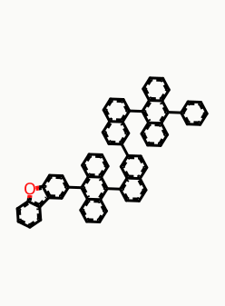 c1ccc(-c2c3ccccc3c(-c3cccc4ccc(-c5ccc6cccc(-c7c8ccccc8c(-c8ccc9oc%10ccccc%10c9c8)c8ccccc78)c6c5)cc34)c3ccccc23)cc1